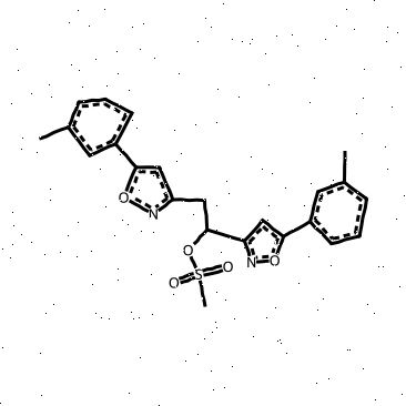 Cc1cccc(-c2cc(CC(OS(C)(=O)=O)c3cc(-c4cccc(C)c4)on3)no2)c1